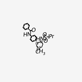 CC(C)S(=O)(=O)N[C@H]1CCN(C)C[C@@H]1c1ccc(NC(=O)c2ccccc2)cc1